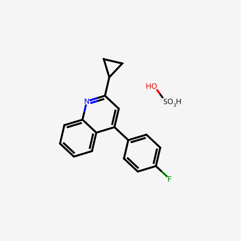 Fc1ccc(-c2cc(C3CC3)nc3ccccc23)cc1.O=S(=O)(O)O